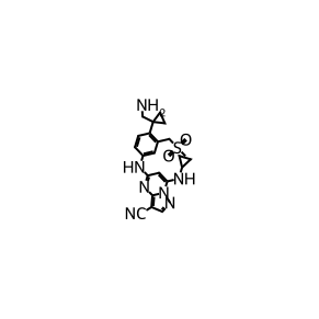 CS(=O)(=O)Cc1cc(Nc2cc(NC3CC3)n3ncc(C#N)c3n2)ccc1C1(CN)CC1